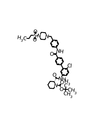 CCCS(=O)(=O)N1CCN(Cc2ccc(NC(=O)c3ccc(-c4cc(NC(=O)[C@H]5CCCCN5C(=O)OC(C)(C)C)ccc4Cl)cc3)cc2)CC1